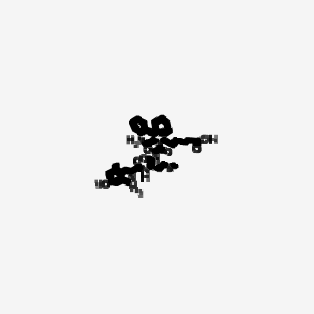 CSCC[C@@H](NC(=O)[C@@H](N)Cc1c(C)cc(O)cc1C)C(=O)NCC(=O)N(CCCCCC(=O)O)[C@H](C(N)=O)C(C1CCCCC1)C1CCCCC1